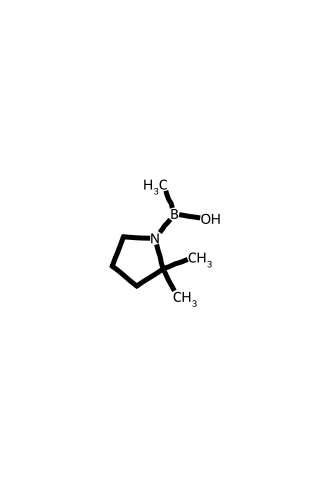 CB(O)N1CCCC1(C)C